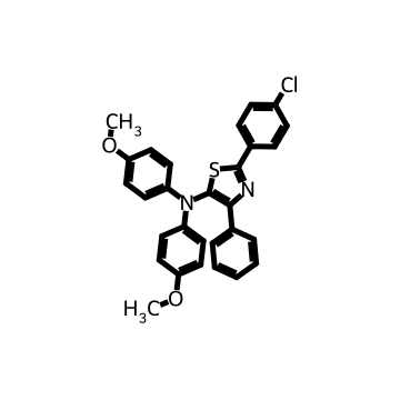 COc1ccc(N(c2ccc(OC)cc2)c2sc(-c3ccc(Cl)cc3)nc2-c2ccccc2)cc1